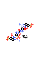 Nc1ccc2cc(S(=O)(=O)[O-])cc(O)c2c1N=Nc1ccc(NC(=O)C(=O)Nc2ccc(N=Nc3c(N)ccc4cc(S(=O)(=O)[O-])cc(O)c34)c(S(=O)(=O)[O-])c2)cc1S(=O)(=O)[O-].[Na+].[Na+].[Na+].[Na+]